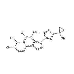 Cc1c2c(-c3noc(C4(O)CC4)n3)ncn2c2ccc(Cl)c(C#N)c2[n+]1[O-]